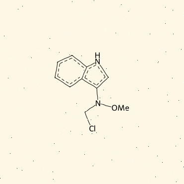 CON(CCl)c1c[nH]c2ccccc12